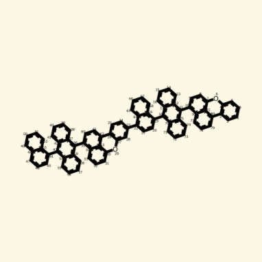 c1ccc2c(c1)Oc1ccc(-c3c4ccccc4c(-c4ccc(-c5ccc6c(c5)Oc5cccc7c(-c8c9ccccc9c(-c9cccc%10ccccc9%10)c9ccccc89)ccc-6c57)c5ccccc45)c4ccccc34)c3cccc-2c13